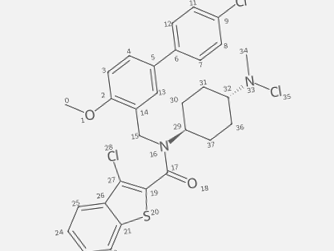 COc1ccc(-c2ccc(Cl)cc2)cc1CN(C(=O)c1sc2ccccc2c1Cl)[C@H]1CC[C@H](N(C)Cl)CC1